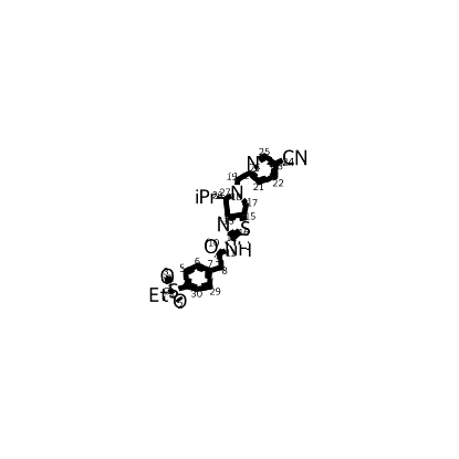 CCS(=O)(=O)c1ccc(CC(=O)Nc2nc3c(s2)CN(Cc2ccc(C#N)cn2)[C@@H]3C(C)C)cc1